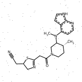 C[C@@H]1CCN(C(=O)CC2=NCC(CC#N)S2)CC1N(C)c1ccnc2[nH]ccc12